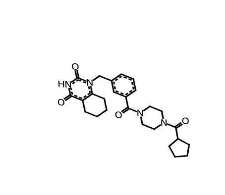 O=C(c1cccc(Cn2c3c(c(=O)[nH]c2=O)CCCC3)c1)N1CCN(C(=O)C2CCCC2)CC1